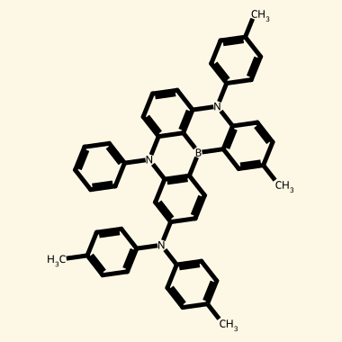 Cc1ccc(N(c2ccc(C)cc2)c2ccc3c(c2)N(c2ccccc2)c2cccc4c2B3c2cc(C)ccc2N4c2ccc(C)cc2)cc1